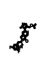 CC(C)OCc1cnn(C)c1-c1cc2c(cn1)C(=O)N([C@H](CN)Cc1cc(F)cc(F)c1)C2